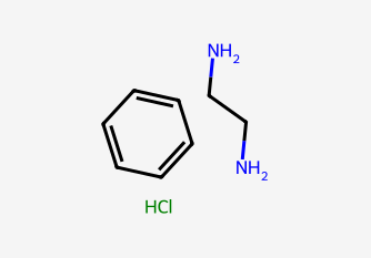 Cl.NCCN.c1ccccc1